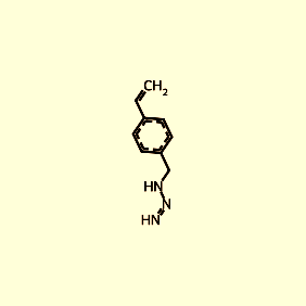 C=Cc1ccc(CNN=N)cc1